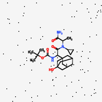 CC(C(N)=O)N(C(=O)C(NC(=O)OC(C)(C)C)C12CC3CC(CC(O)(C3)C1)C2)C1CC1